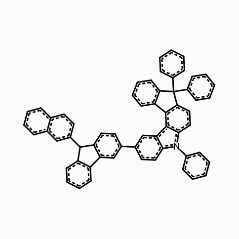 c1ccc(-n2c3ccc(-c4ccc5c(c4)-c4ccccc4C5c4ccc5ccccc5c4)cc3c3c4c(ccc32)C(c2ccccc2)(c2ccccc2)c2ccccc2-4)cc1